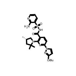 CC(C)COc1ccn(-c2ccc(C(=O)NS(=O)(=O)c3cccnc3N)c(N3C[C@@H](C)CC3(C)C)n2)n1